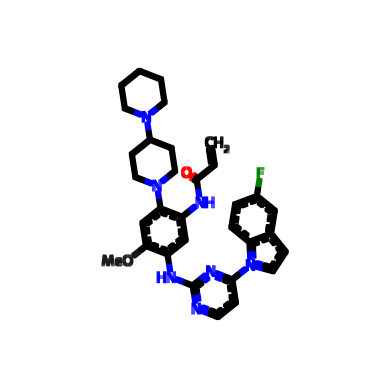 C=CC(=O)Nc1cc(Nc2nccc(-n3ccc4cc(F)ccc43)n2)c(OC)cc1N1CCC(N2CCCCC2)CC1